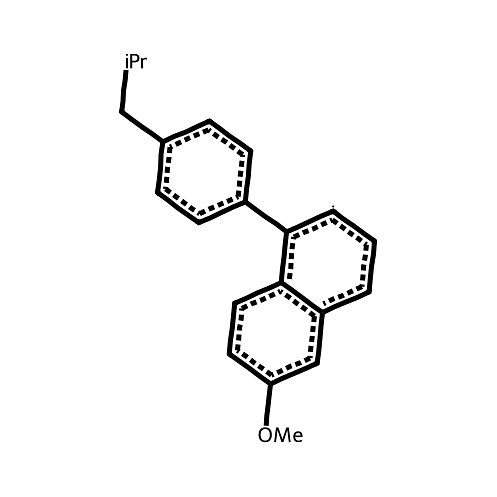 COc1ccc2c(-c3ccc(CC(C)C)cc3)[c]ccc2c1